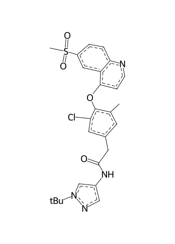 Cc1cc(CC(=O)Nc2cnn(C(C)(C)C)c2)cc(Cl)c1Oc1ccnc2ccc(S(C)(=O)=O)cc12